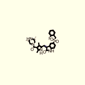 Cc1[nH]c(/C=C2\C(=O)Nc3ccc(S(=O)(=O)Cc4ccccc4F)cc32)c(C)c1C(=O)N1C[C@@H](C)N[C@@H](C)C1